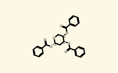 O=C(O[C@H]1C[C@H](OC(=O)c2ccccc2)[C@H](OC(=O)c2ccccc2)CO1)c1ccccc1